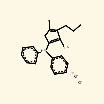 CCCC1=C(C)CC([SiH](c2ccccc2)c2ccccc2)=[C]1[Ti+3].[Cl-].[Cl-].[Cl-]